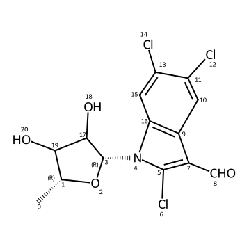 C[C@H]1O[C@@H](n2c(Cl)c(C=O)c3cc(Cl)c(Cl)cc32)C(O)C1O